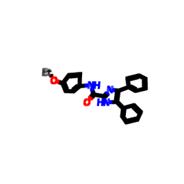 CCOc1ccc(NC(=O)c2nc(-c3ccccc3)c(-c3ccccc3)[nH]2)cc1